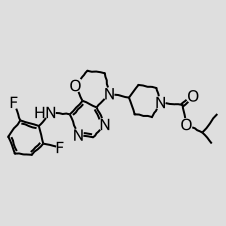 CC(C)OC(=O)N1CCC(N2CCOc3c(Nc4c(F)cccc4F)ncnc32)CC1